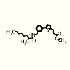 CCCCCCC(C)C(=O)NCc1cccc(-c2ccc(C=CC(=O)OC)s2)c1